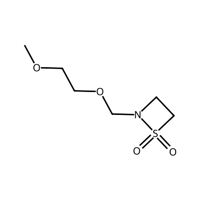 COCCOCN1CCS1(=O)=O